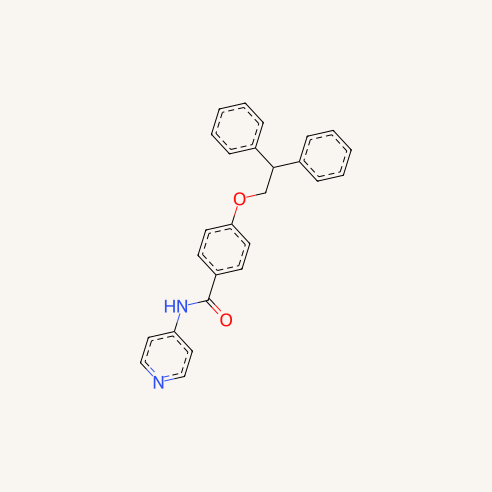 O=C(Nc1ccncc1)c1ccc(OCC(c2ccccc2)c2ccccc2)cc1